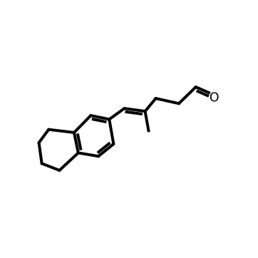 C/C(=C\c1ccc2c(c1)CCCC2)CCC=O